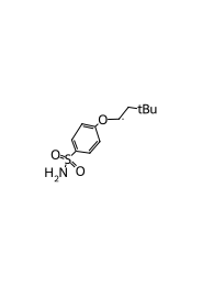 CC(C)(C)C[CH]Oc1ccc(S(N)(=O)=O)cc1